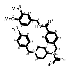 COc1ccc(CNC(=O)c2ccc(CN(C(=O)C(C)C)C3CCN(Cc4ccc([N+](=O)[O-])cc4)CC3)cc2)cc1OC